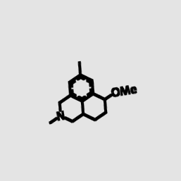 COC1CCC2CN(C)Cc3cc(C)cc1c32